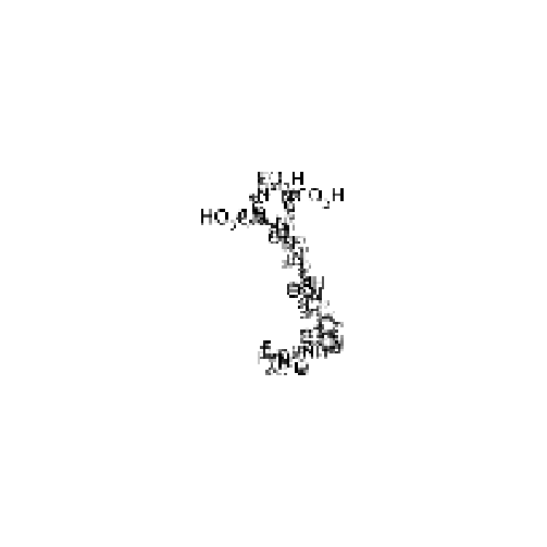 O=C(O)CN1CCN(CC(=O)O)CCN(CC(=O)N2CCN(CCNC(=O)c3ccc(-c4ccc5nccc(C(=O)NCC(=O)N6CCC(F)(F)C6)c5c4)cn3)CC2)CCN(CC(=O)O)CC1